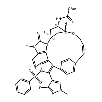 COC(=O)N[C@H]1C[C@H]2C[C@H]1OC/C=C\c1ccc(cc1)-c1c(-c3cn(C)nc3F)n(S(=O)(=O)c3ccccc3)c3ncc4c(c13)n2c(=O)n4C